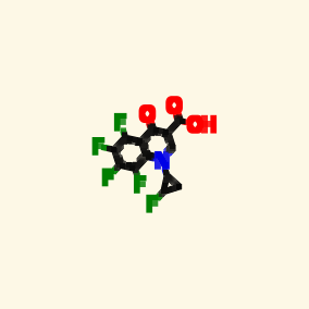 O=C(O)c1cn(C2CC2F)c2c(F)c(F)c(F)c(F)c2c1=O